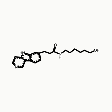 O=C(CCc1ccc2c(c1)[nH]c1ccncc12)NCCCCCCO